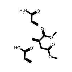 C=C(CC(=O)OC)C(=O)OC.C=CC(=O)O.C=CC(N)=O